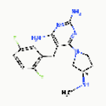 CN[C@@H]1CCN(c2nc(N)nc(N)c2Cc2cc(F)ccc2F)C1